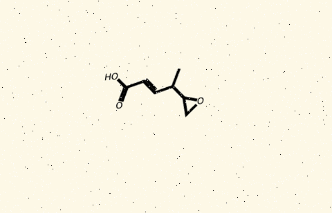 CC(/C=C/C(=O)O)C1CO1